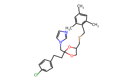 Cc1cc(C)c(CSCC2COC(CCc3ccc(Cl)cc3)(Cn3ccnc3)O2)c(C)c1